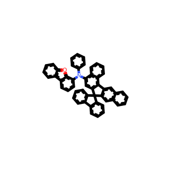 c1ccc(N(c2cc3c(c4ccccc24)-c2cc4ccccc4cc2C32c3ccccc3-c3ccccc32)c2cccc3c2oc2ccccc23)cc1